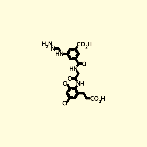 NN=CNc1cc(C(=O)O)cc(C(=O)NCC(=O)Nc2c(Cl)cc(Cl)cc2CCC(=O)O)c1